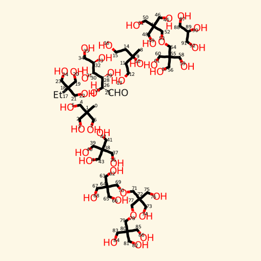 CC(CO)(CO)CO.CC(O)(CCO)CCO.CCC(CO)(CO)CO.O=C[C@H](O)[C@@H](O)[C@H](O)[C@H](O)CO.OCC(CO)(CO)CO.OCC(CO)(CO)COCC(CO)(CO)CO.OCC(CO)(CO)COCC(CO)(CO)COCC(CO)(CO)CO.OCC(O)CO